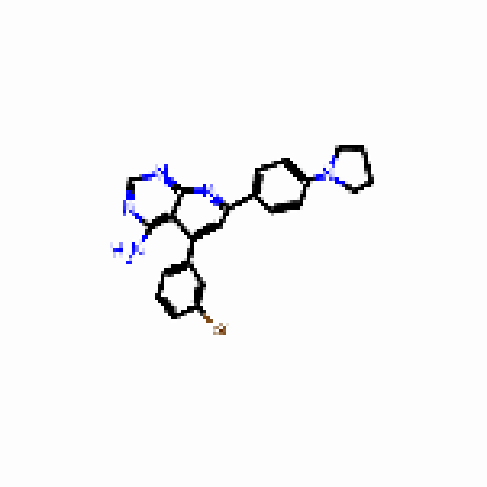 Nc1ncnc2nc(-c3ccc(N4CCCC4)cc3)cc(-c3cccc(Br)c3)c12